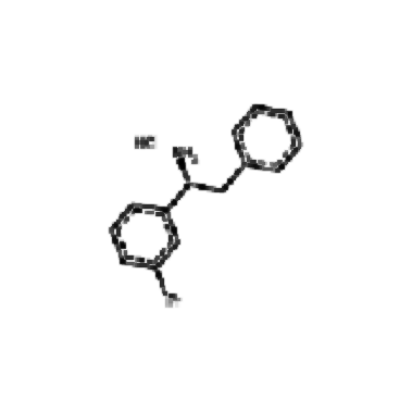 CC(C)c1cccc([C@@H](N)Cc2ccccc2)c1.Cl